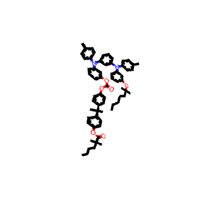 CCCCCC(C)(C)Oc1cccc(N(c2ccc(C)cc2)c2cccc(N(c3ccc(C)cc3)c3cccc(OC(=O)Oc4ccc(C(C)(C)c5ccc(OC(=O)C(C)(C)CCCC)cc5)cc4)c3)c2)c1